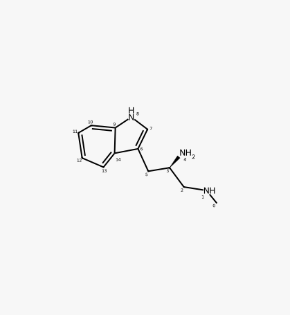 CNC[C@H](N)Cc1c[nH]c2ccccc12